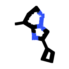 Cc1ccnn2cc(C3=CC=C3)nc12